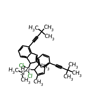 CC1=Cc2c(C#CC(C)(C)C)cccc2[CH]1[Zr]([Cl])([Cl])([CH]1C(C)=Cc2c(C#CC(C)(C)C)cccc21)[SiH](C)C